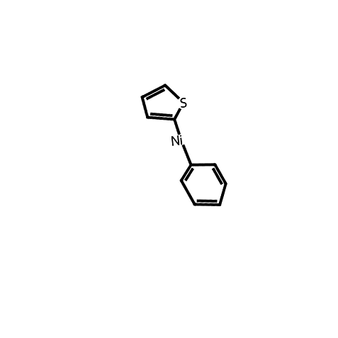 c1cc[c]([Ni][c]2cccs2)cc1